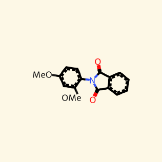 COc1ccc(N2C(=O)c3ccccc3C2=O)c(OC)c1